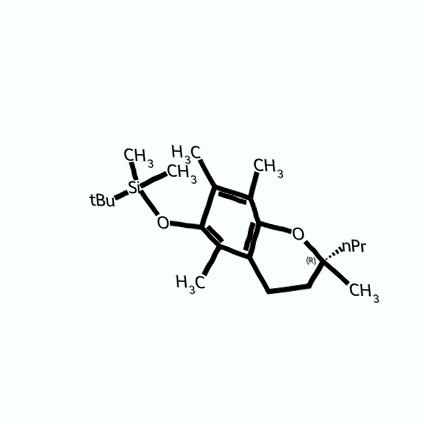 CCC[C@]1(C)CCc2c(C)c(O[Si](C)(C)C(C)(C)C)c(C)c(C)c2O1